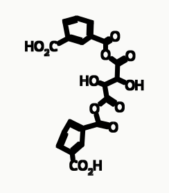 O=C(O)c1cccc(C(=O)OC(=O)C(O)C(O)C(=O)OC(=O)c2cccc(C(=O)O)c2)c1